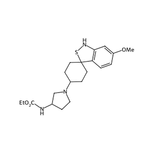 CCOC(=O)NC1CCN(C2CCC3(CC2)SNc2cc(OC)ccc23)C1